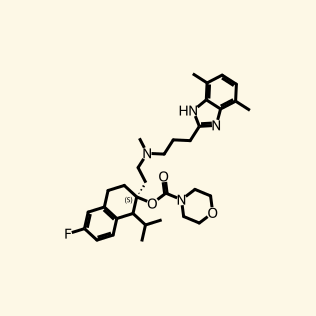 Cc1ccc(C)c2[nH]c(CCCN(C)CC[C@@]3(OC(=O)N4CCOCC4)CCc4cc(F)ccc4C3C(C)C)nc12